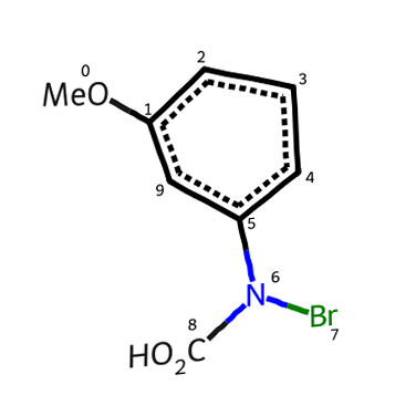 COc1cccc(N(Br)C(=O)O)c1